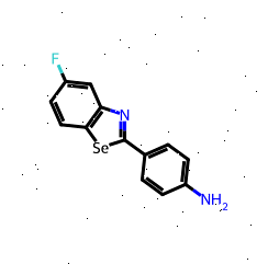 Nc1ccc(-c2nc3cc(F)ccc3[se]2)cc1